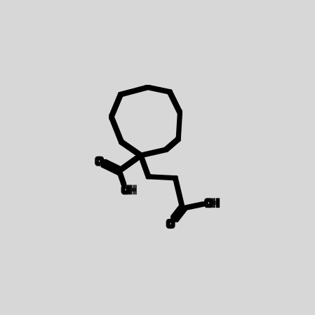 O=C(O)CCC1(C(=O)O)CCCCCCCC1